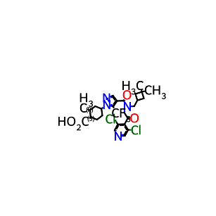 C[C@@H]1CC(n2ncc(C(=O)N(CC(=O)c3c(Cl)cncc3Cl)CC3CC(C)(C)C3)c2C(F)(F)F)CC[C@@H]1C(=O)O